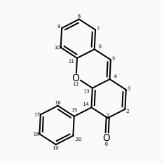 O=c1ccc2cc3ccccc3oc-2c1-c1ccccc1